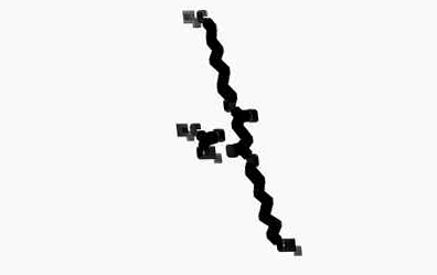 CC(C)=O.CCCCCCC=COC(=O)CCC(=O)OC=CCCCCCC